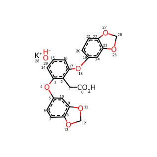 O=C(O)Cc1c(Oc2ccc3c(c2)OCO3)cccc1Oc1ccc2c(c1)OCO2.[K+].[OH-]